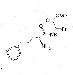 CC[C@@H](NC(=O)[C@@H](N)CCCc1ccccc1)C(=O)OC